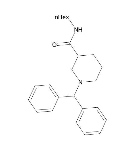 CCCCCCNC(=O)C1CCCN(C(c2ccccc2)c2ccccc2)C1